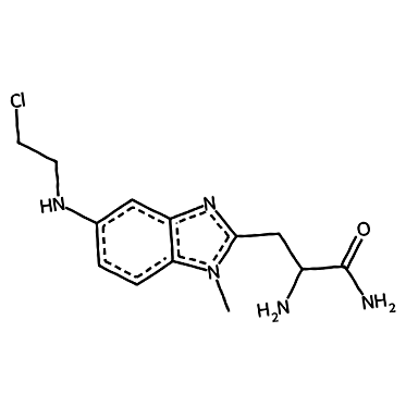 Cn1c(CC(N)C(N)=O)nc2cc(NCCCl)ccc21